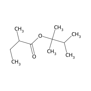 CCC(C)C(=O)OC(C)(C)C(C)C